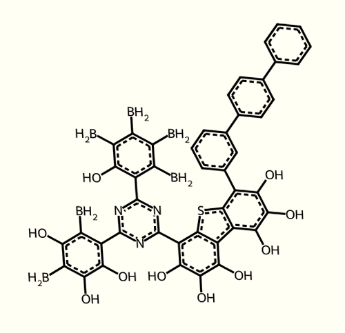 Bc1c(B)c(B)c(-c2nc(-c3c(B)c(O)c(B)c(O)c3O)nc(-c3c(O)c(O)c(O)c4c3sc3c(-c5cccc(-c6ccc(-c7ccccc7)cc6)c5)c(O)c(O)c(O)c34)n2)c(O)c1B